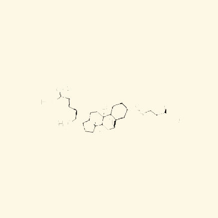 CC(C)CCCC(C)[C@H]1CC[C@H]2[C@@H]3CC=C4C[C@@H](SSCCC(=O)O)CC[C@]4(C)[C@H]3CC[C@]12C